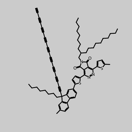 C#CC#CC#CC#CC#CC#CC#CC#CC#CC1(CCCCCCCC)c2cc(C)ccc2-c2ccc(-c3ccc(-c4nnc(-c5ccc(C)s5)c5c4C(=O)N(CC(CCCCCCCC)CCCCCCCCCC)C5=O)s3)cc21